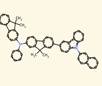 CC1(C)c2ccccc2-c2ccc(N(c3ccccc3)c3ccc4c(c3)C(C)(C)c3cc(-c5ccc6c(c5)c5ccccc5n6-c5ccc6ccccc6c5)ccc3-4)cc21